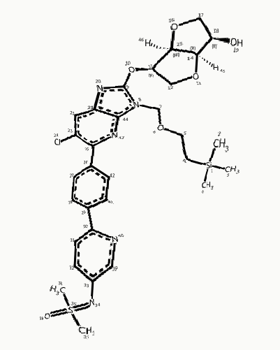 C[Si](C)(C)CCOCn1c(O[C@@H]2CO[C@H]3[C@@H]2OC[C@H]3O)nc2cc(Cl)c(-c3ccc(-c4ccc(N=S(C)(C)=O)cn4)cc3)nc21